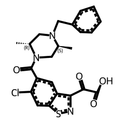 C[C@@H]1CN(Cc2ccccc2)[C@@H](C)CN1C(=O)c1cc2c(C(=O)C(=O)O)nsc2cc1Cl